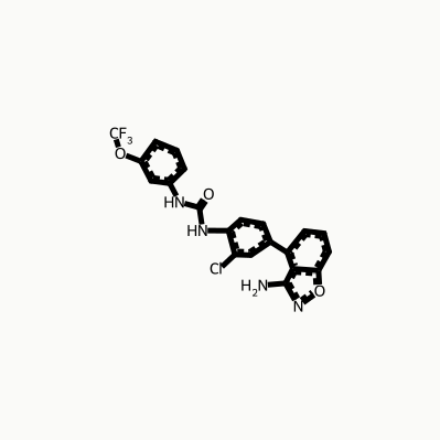 Nc1noc2cccc(-c3ccc(NC(=O)Nc4cccc(OC(F)(F)F)c4)c(Cl)c3)c12